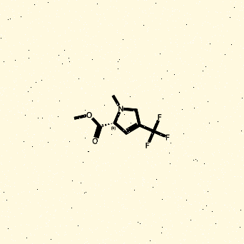 COC(=O)[C@H]1C=C(C(F)(F)F)CN1C